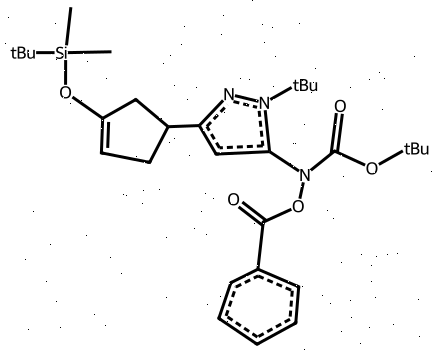 CC(C)(C)OC(=O)N(OC(=O)c1ccccc1)c1cc(C2CC=C(O[Si](C)(C)C(C)(C)C)C2)nn1C(C)(C)C